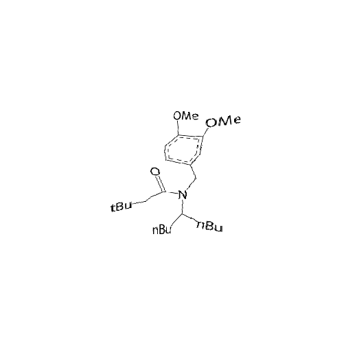 CCCCC(CCCC)N(Cc1ccc(OC)c(OC)c1)C(=O)CC(C)(C)C